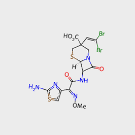 CON=C(C(=O)NC1C(=O)N2CC(C=C(Br)Br)(C(=O)O)CS[C@H]12)c1csc(N)n1